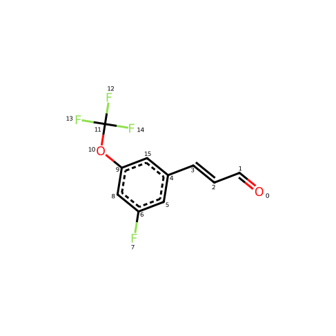 O=C/C=C/c1cc(F)cc(OC(F)(F)F)c1